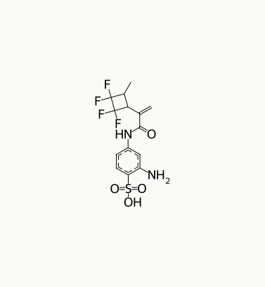 C=C(C(=O)Nc1ccc(S(=O)(=O)O)c(N)c1)C1C(C)C(F)(F)C1(F)F